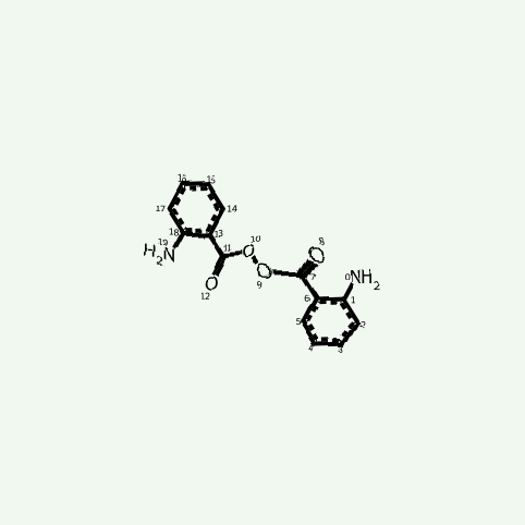 Nc1ccccc1C(=O)OOC(=O)c1ccccc1N